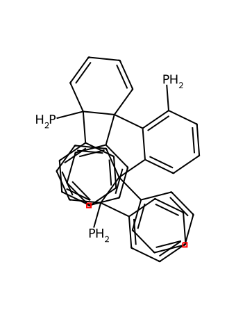 Pc1cccc(C2(c3ccccc3)C=CC=CC2(P)c2ccccc2)c1C1(c2ccccc2)C=CC=CC1(P)c1ccccc1